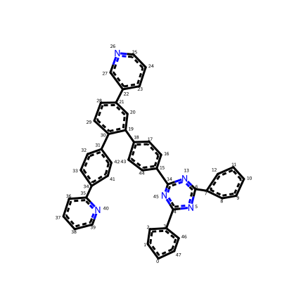 c1ccc(-c2nc(-c3ccccc3)nc(-c3ccc(-c4cc(-c5cccnc5)ccc4-c4ccc(-c5ccccn5)cc4)cc3)n2)cc1